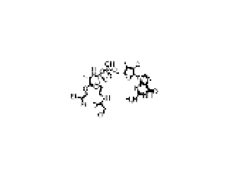 CCC(CC)COC(=O)[C@H](C)NP(=O)(OCCNC(=O)CCl)OP(=O)(O)OC[C@H]1O[C@@H](n2cnc3c(=O)[nH]c(N)nc32)[C@H](O)[C@@H]1C